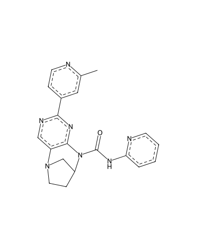 Cc1cc(-c2ncc3c(n2)N(C(=O)Nc2ccccn2)C2CCN3C2)ccn1